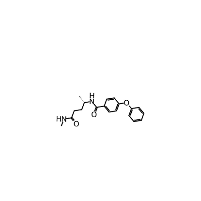 CNC(=O)CC[C@H](C)NC(=O)c1ccc(Oc2ccccc2)cc1